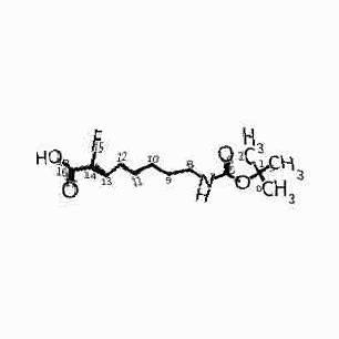 CC(C)(C)OC(=O)NCCCCC/C=C(\F)C(=O)O